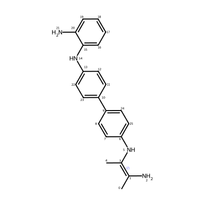 C/C(N)=C(\C)Nc1ccc(-c2ccc(Nc3ccccc3N)cc2)cc1